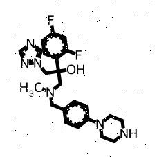 CN(Cc1ccc(N2CCNCC2)cc1)CC(O)(Cn1cncn1)c1ccc(F)cc1F